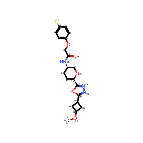 O=C(COc1ccc(F)cc1)N[C@H]1CC[C@H](c2nnc(C3CC(OC(F)(F)F)C3)o2)OC1